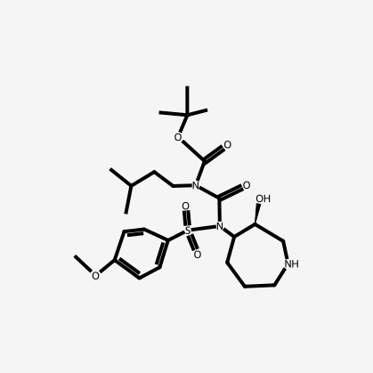 COc1ccc(S(=O)(=O)N(C(=O)N(CCC(C)C)C(=O)OC(C)(C)C)C2CCCNC[C@@H]2O)cc1